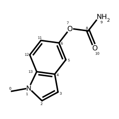 Cn1ccc2cc(OC(N)=O)ccc21